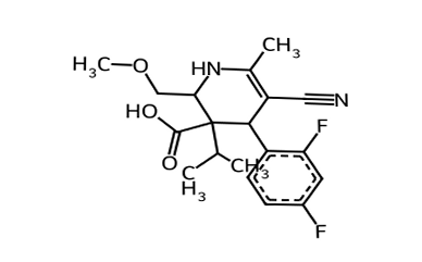 COCC1NC(C)=C(C#N)C(c2ccc(F)cc2F)C1(C(=O)O)C(C)C